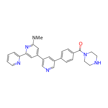 CNc1cc(-c2cncc(-c3ccc(C(=O)N4CCNCC4)cc3)c2)cc(-c2ccccn2)n1